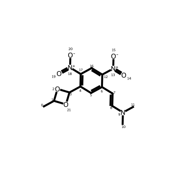 CC1OC(c2cc(/C=C/N(C)C)c([N+](=O)[O-])cc2[N+](=O)[O-])O1